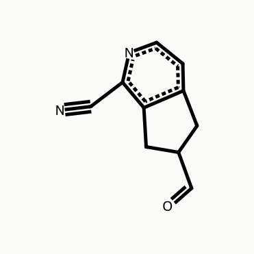 N#Cc1nccc2c1CC(C=O)C2